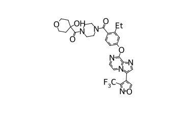 CCc1cc(Oc2nccn3c(-c4conc4C(F)(F)F)cnc23)ccc1C(=O)N1CCN(C(=O)C2(O)CCOCC2)CC1